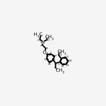 CC[C](c1ccc(OCCN(CC)CC)cc1)c1ccccc1CC